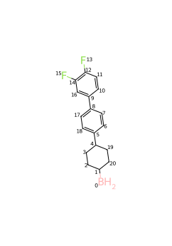 BC1CCC(c2ccc(-c3ccc(F)c(F)c3)cc2)CC1